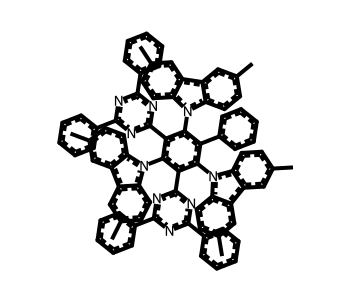 Cc1ccc2c(c1)c1cc(C)ccc1n2-c1c(-c2ccccc2)c(-n2c3ccc(C)cc3c3cc(C)ccc32)c(-c2nc(-c3ccccc3)nc(-c3ccccc3)n2)c(-n2c3ccc(C)cc3c3cc(C)ccc32)c1-c1nc(-c2ccccc2)nc(-c2ccccc2)n1